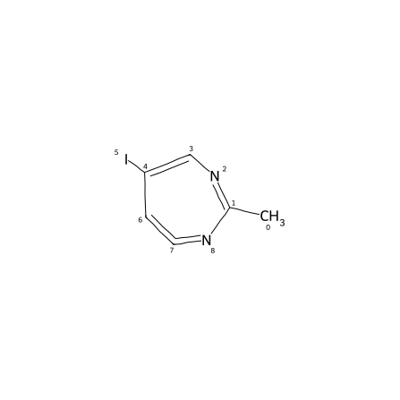 CC1=NC=C(I)C=C=N1